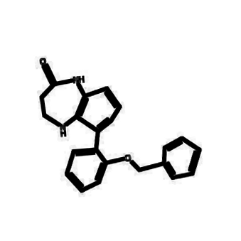 O=C1CCNc2c(cccc2-c2ccccc2OCc2ccccc2)N1